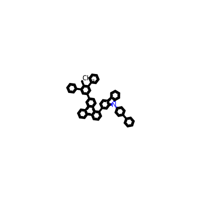 CCc1c(-c2ccccc2)cc(-c2ccc3c(c2)c2ccccc2c2cccc(-c4ccc5c6ccccc6n(-c6ccc(-c7ccccc7)cc6)c5c4)c23)cc1-c1ccccc1